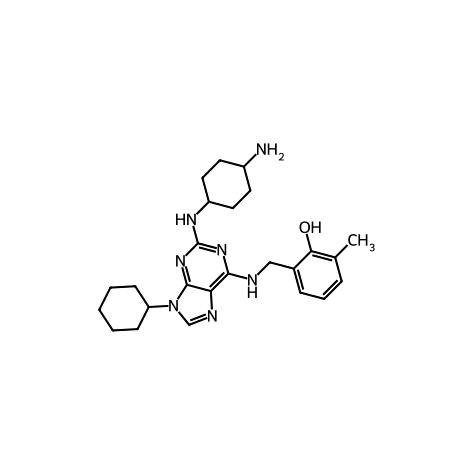 Cc1cccc(CNc2nc(NC3CCC(N)CC3)nc3c2ncn3C2CCCCC2)c1O